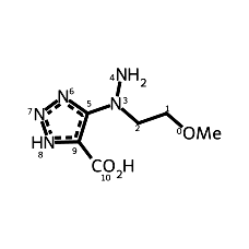 COCCN(N)c1nn[nH]c1C(=O)O